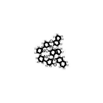 N#Cc1c(C#N)c(N2c3cc(-c4ccccc4)ccc3Oc3c2ccc2ccccc32)c2c(c1N1c3cc(-c4ccccc4)ccc3Oc3c1ccc1ccccc31)C1CCC2CC1